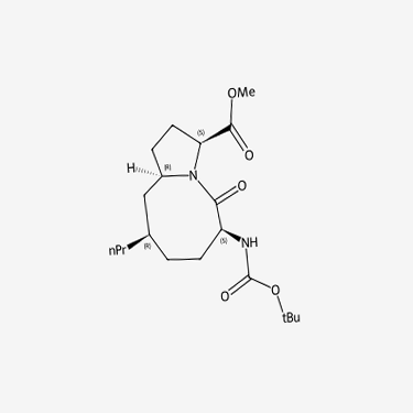 CCC[C@@H]1CC[C@H](NC(=O)OC(C)(C)C)C(=O)N2[C@H](CC[C@H]2C(=O)OC)C1